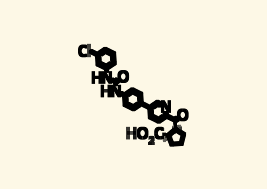 O=C(Nc1ccc(-c2ccc(C(=O)[C@H]3CCC[C@@H]3C(=O)O)nc2)cc1)Nc1cccc(Cl)c1